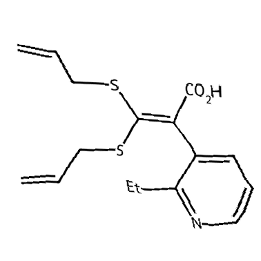 C=CCSC(SCC=C)=C(C(=O)O)c1cccnc1CC